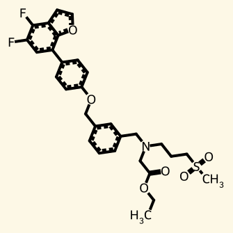 CCOC(=O)CN(CCCS(C)(=O)=O)Cc1cccc(COc2ccc(-c3cc(F)c(F)c4ccoc34)cc2)c1